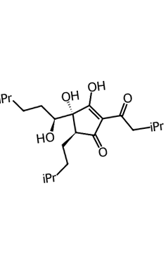 CC(C)CC[C@@H]1C(=O)C(C(=O)CC(C)C)=C(O)[C@]1(O)[C@@H](O)CCC(C)C